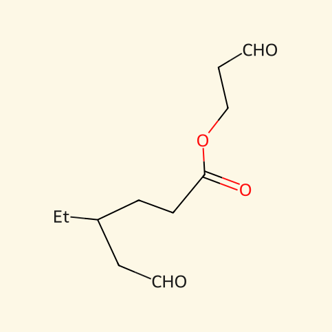 CCC(CC=O)CCC(=O)OCCC=O